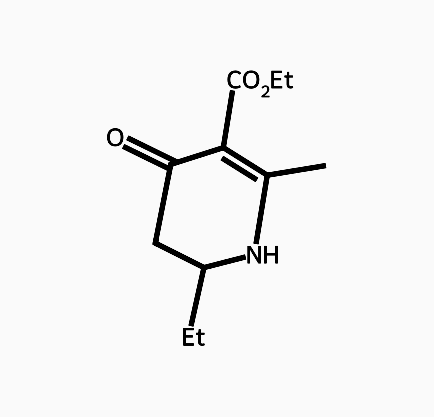 CCOC(=O)C1=C(C)NC(CC)CC1=O